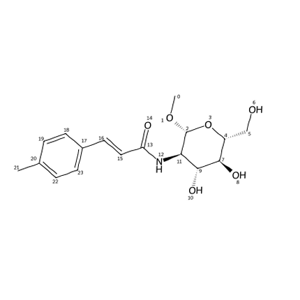 CO[C@@H]1O[C@H](CO)[C@@H](O)[C@H](O)[C@H]1NC(=O)C=Cc1ccc(C)cc1